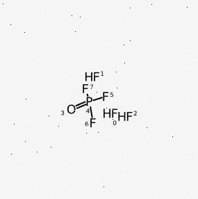 F.F.F.O=P(F)(F)F